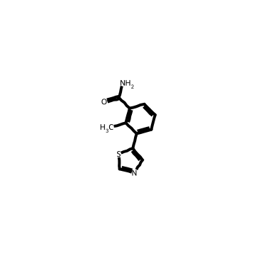 Cc1c(C(N)=O)cccc1-c1cncs1